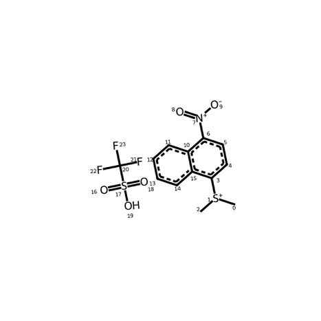 C[S+](C)c1ccc([N+](=O)[O-])c2ccccc12.O=S(=O)(O)C(F)(F)F